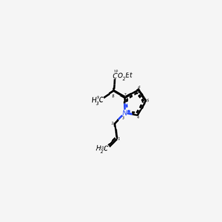 C=CCn1cccc1C(C)C(=O)OCC